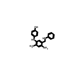 Nc1cc(N)c(Nc2ccc(O)cc2)cc1CNc1ccccc1